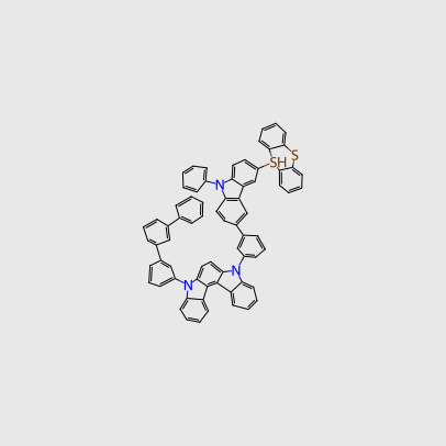 c1ccc(-c2cccc(-c3cccc(-n4c5ccccc5c5c6c7ccccc7n(-c7cccc(-c8ccc9c(c8)c8cc([SH]%10c%11ccccc%11Sc%11ccccc%11%10)ccc8n9-c8ccccc8)c7)c6ccc54)c3)c2)cc1